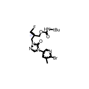 Cc1cc(-n2cnn(C/C(=C/F)COC(=O)NC(C)(C)C)c2=O)cnc1Br